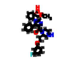 COC[C@]1(O)CCCC[C@H]1n1cnc(C(=O)N2CCNC[C@H]2CCOc2cccc(F)c2)c1-c1ccccc1